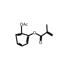 C=C(C)C(=O)Oc1ccccc1OC(C)=O